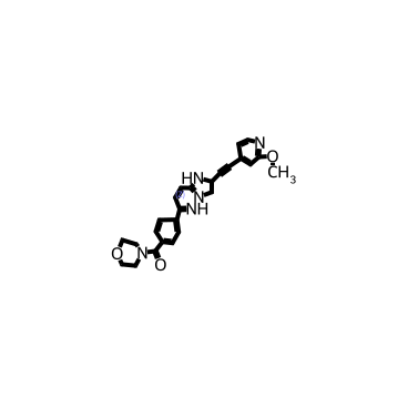 COc1cc(C#CC2CN=C(/C=C\C(=N)c3ccc(C(=O)N4CCOCC4)cc3)N2)ccn1